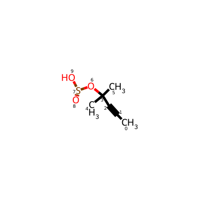 CC#CC(C)(C)OS(=O)O